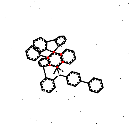 CC1(C)c2ccccc2C2(c3ccccc3-c3ccccc32)c2cccc(-c3ccccc3N(c3ccc(-c4ccccc4)cc3)c3cccc(-c4ccccc4)c3)c21